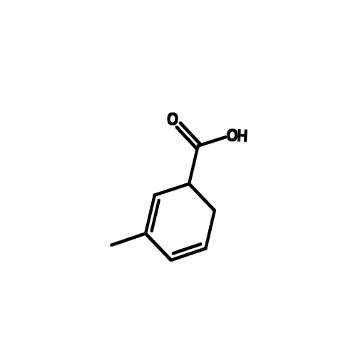 CC1=CC(C(=O)O)CC=C1